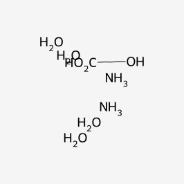 N.N.O.O.O.O.O=C(O)O